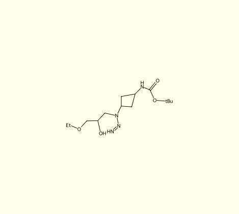 CCOCC(O)CN(N=N)C1CC(NC(=O)OC(C)(C)C)C1